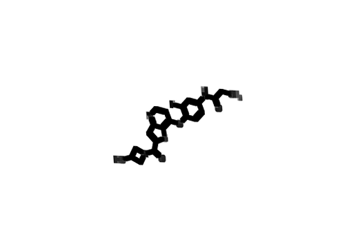 CCC(=O)Nc1ccc(Oc2ccnc3cc(C(=O)N4CC(O)C4)sc23)c(F)c1